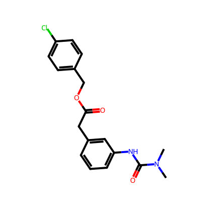 CN(C)C(=O)Nc1cccc(CC(=O)OCc2ccc(Cl)cc2)c1